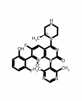 Cc1ncnc(C)c1-n1c(=O)nc(N2CCNC[C@@H]2C)c2cc(F)c(-c3c(O)cccc3F)[n+]([O-])c21